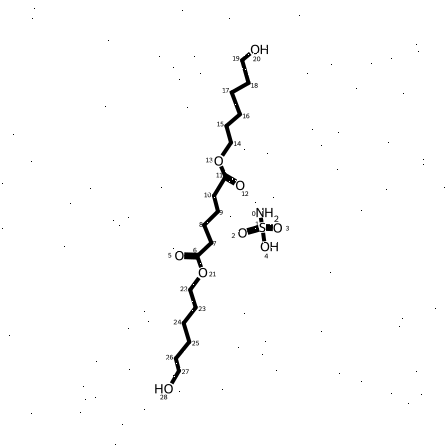 NS(=O)(=O)O.O=C(CCCCC(=O)OCCCCCCO)OCCCCCCO